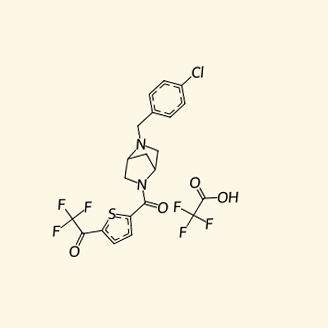 O=C(O)C(F)(F)F.O=C(c1ccc(C(=O)C(F)(F)F)s1)N1CC2CC1CN2Cc1ccc(Cl)cc1